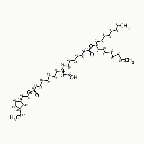 CCCCCCCCC(CCCCCCCC)OC(=O)CCCCCCCN(CCO)CCCCCCCC(=O)OCCC1CCC(CC)C1